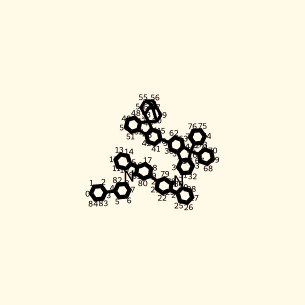 c1ccc(-c2cccc(-n3c4ccccc4c4ccc(-c5ccc6c7ccccc7n(-c7ccc8c(c7)-c7cc(-c9ccc%10c(c9)C9(c%11ccccc%11-%10)C%10CC%11CC(C%10)CC9C%11)ccc7C8(c7ccccc7)c7ccccc7)c6c5)cc43)c2)cc1